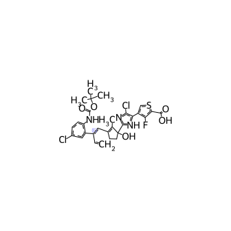 C=C/C(=C\C1=C(C)C(O)(c2nc(Cl)c(-c3csc(C(=O)O)c3F)[nH]2)CC1)c1cc(Cl)ccc1NC(=O)OC(C)(C)C